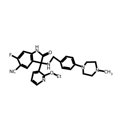 CCOc1ncccc1C1(NCc2ccc(N3CCN(C)CC3)cc2)C(=O)Nc2cc(F)c(C#N)cc21